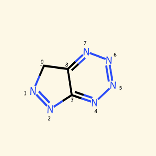 [CH]1N=Nc2nnnnc21